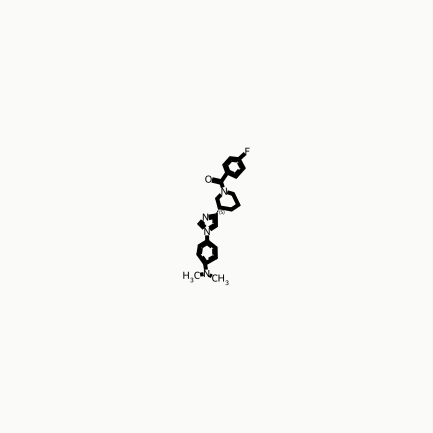 CN(C)c1ccc(-n2cnc([C@H]3CCCN(C(=O)c4ccc(F)cc4)C3)c2)cc1